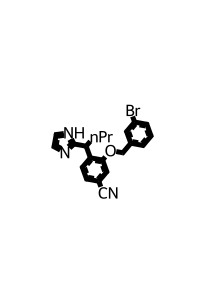 CCCC(c1ncc[nH]1)c1ccc(C#N)cc1OCc1cccc(Br)c1